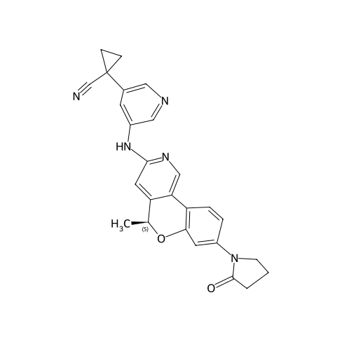 C[C@@H]1Oc2cc(N3CCCC3=O)ccc2-c2cnc(Nc3cncc(C4(C#N)CC4)c3)cc21